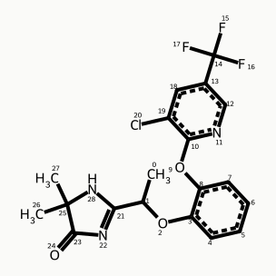 CC(Oc1ccccc1Oc1ncc(C(F)(F)F)cc1Cl)C1=NC(=O)C(C)(C)N1